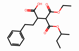 CCOC(=O)C(C(=O)OC(C)CC)C(CCc1ccccc1)C(=O)O